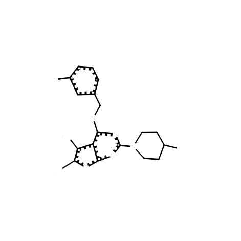 CCOC(=O)C1CCN(c2nc(NCc3cccc([N+](=O)[O-])c3)c3c(C)c(C)sc3n2)CC1